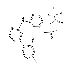 COc1cc(F)ccc1-c1cc(Nc2cc(CS(C)(=O)=NC(=O)C(F)(F)F)ccn2)ncn1